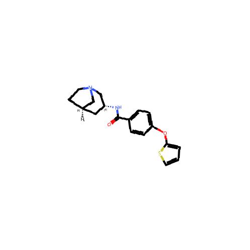 O=C(N[C@@H]1C[C@H]2CCN(C2)C1)c1ccc(Oc2cccs2)cc1